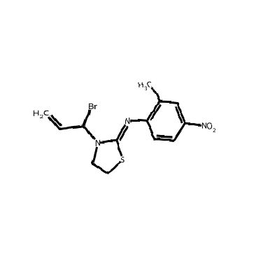 C=CC(Br)N1CCSC1=Nc1ccc([N+](=O)[O-])cc1C